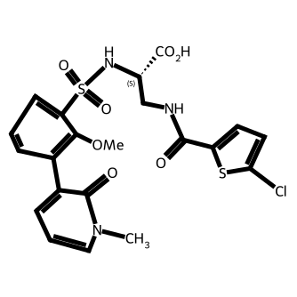 COc1c(-c2cccn(C)c2=O)cccc1S(=O)(=O)N[C@@H](CNC(=O)c1ccc(Cl)s1)C(=O)O